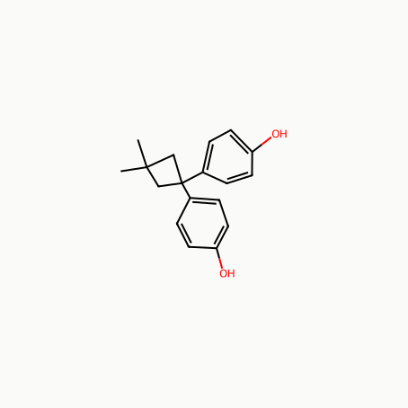 CC1(C)CC(c2ccc(O)cc2)(c2ccc(O)cc2)C1